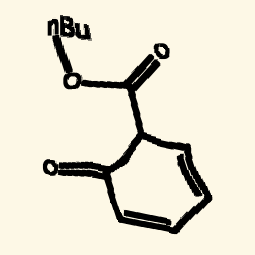 CCCCOC(=O)C1C=CC=CC1=O